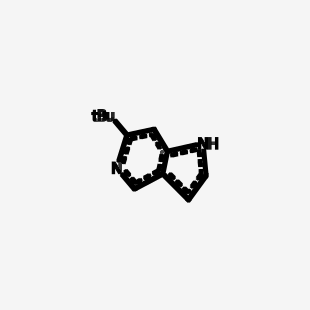 CC(C)(C)c1cc2[nH]ccc2cn1